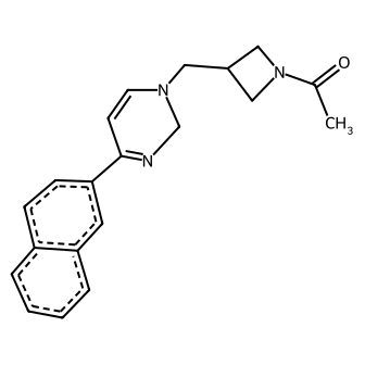 CC(=O)N1CC(CN2C=CC(c3ccc4ccccc4c3)=NC2)C1